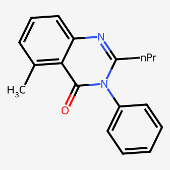 CCCc1nc2cccc(C)c2c(=O)n1-c1ccccc1